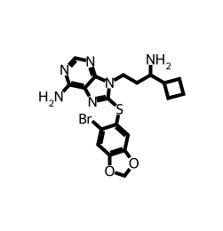 Nc1ncnc2c1nc(Sc1cc3c(cc1Br)OCO3)n2CCC(N)C1CCC1